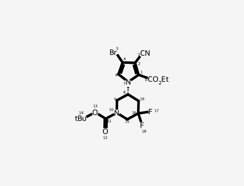 CCOC(=O)c1c(C#N)c(Br)cn1[C@H]1CN(C(=O)OC(C)(C)C)CC(F)(F)C1